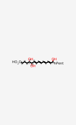 CCCCC[C@H](O)C=CC=C/C=C/C=C/[C@@H](O)[C@@H](O)CCCC(=O)O